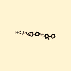 Cc1cc(OCc2ccc(C3CCN(CCC(=O)O)CC3)cc2)ccc1C1CCCCC1